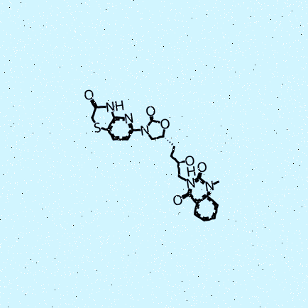 Cn1c(=O)n(C[C@H](O)CC[C@@H]2CN(c3ccc4c(n3)NC(=O)CS4)C(=O)O2)c(=O)c2ccccc21